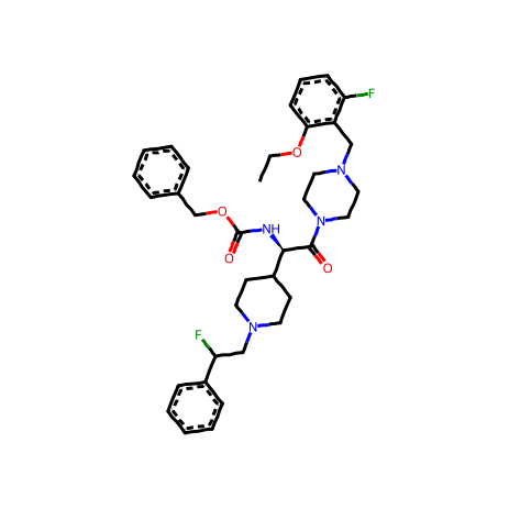 CCOc1cccc(F)c1CN1CCN(C(=O)[C@H](NC(=O)OCc2ccccc2)C2CCN(CC(F)c3ccccc3)CC2)CC1